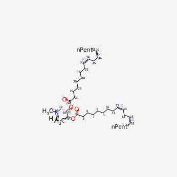 [CH2][C@H](OC(=O)CCCCCCC/C=C\C/C=C\CCCCC)[C@H](CN(C)C)OC(=O)CCCCCCC/C=C\C/C=C\CCCCC